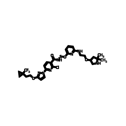 CC1(C)CC(OCCNc2cccc(OSNC(=O)c3ccc(-n4ccc(OCCC5(C(F)(F)F)CC5)n4)nc3Cl)n2)CN1